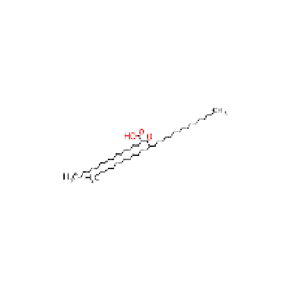 CCCCCCCCCCCCCCCCC(CCCCCCCCCCCCC)C(=O)C(CCCCCCCCCCCCCCCC)C(=O)O